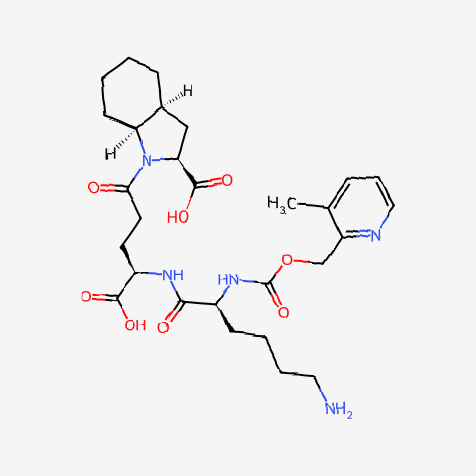 Cc1cccnc1COC(=O)N[C@@H](CCCCN)C(=O)N[C@H](CCC(=O)N1[C@H](C(=O)O)C[C@@H]2CCCC[C@@H]21)C(=O)O